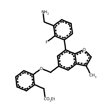 CCOC(=O)Cc1ccccc1OCc1cc(-c2cccc(CN)c2F)c2occ(C)c2c1